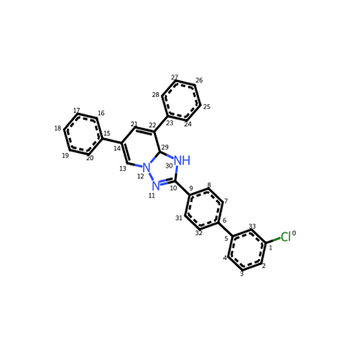 Clc1cccc(-c2ccc(C3=NN4C=C(c5ccccc5)C=C(c5ccccc5)C4N3)cc2)c1